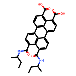 CCC(C)NC(=O)c1ccc2c3ccc(C(=O)O)c4c(C(=O)O)ccc(c5ccc(C(=O)NC(C)CC)c1c25)c43